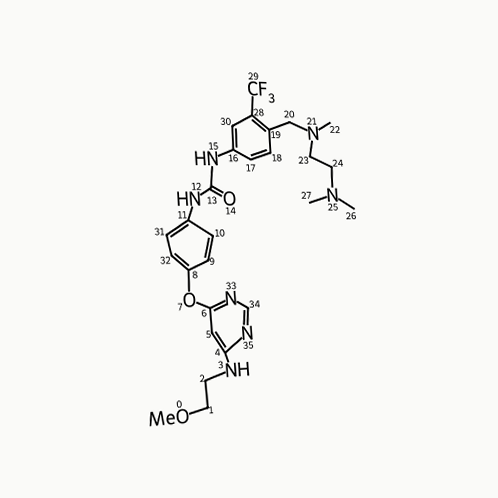 COCCNc1cc(Oc2ccc(NC(=O)Nc3ccc(CN(C)CCN(C)C)c(C(F)(F)F)c3)cc2)ncn1